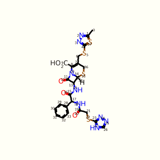 Cc1nnc(SCC2=C(C(=O)O)N3C(=O)C(NC(=O)C(NC(=O)CSc4nnc[nH]4)c4ccccc4)[C@H]3SC2)s1